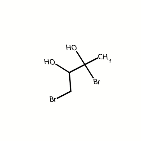 CC(O)(Br)C(O)CBr